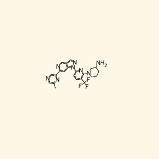 Cc1cncc(-c2cc3c(cn2)cnn3-c2ccc(C(F)(F)F)c(N3CCCC(N)C3)n2)n1